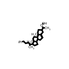 CC(C)CCCC(C)C1CCC2C3CC=C4CC(C(C)OO)CCC4(C)C3CCC12C